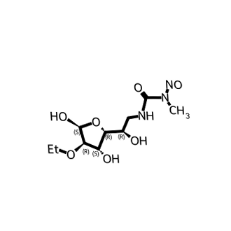 CCO[C@@H]1[C@@H](O)[C@@H]([C@H](O)CNC(=O)N(C)N=O)O[C@@H]1O